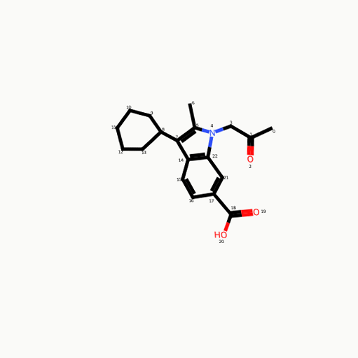 CC(=O)Cn1c(C)c(C2CCCCC2)c2ccc(C(=O)O)cc21